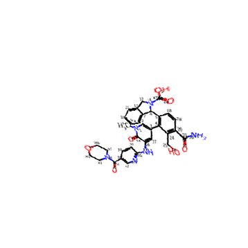 Cn1cc(-c2c(C3c4ccccc4CN3C(=O)O)ccc(C(N)=O)c2CO)cc(Nc2ccc(C(=O)N3CCOCC3)cn2)c1=O